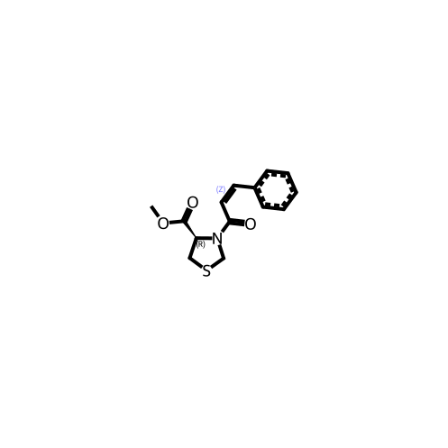 COC(=O)[C@@H]1CSCN1C(=O)/C=C\c1ccccc1